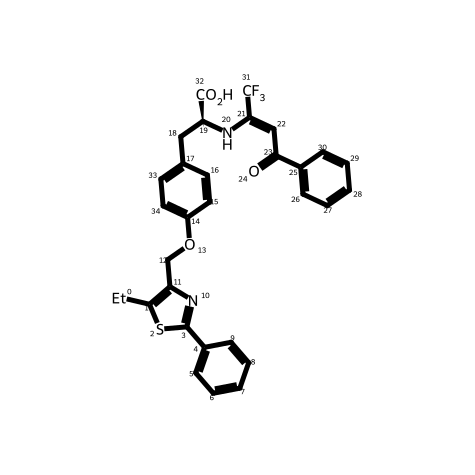 CCc1sc(-c2ccccc2)nc1COc1ccc(C[C@H](N/C(=C\C(=O)c2ccccc2)C(F)(F)F)C(=O)O)cc1